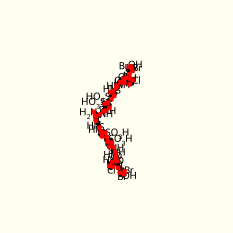 NCCN(CCNC(=S)Nc1ccc(/C=C/c2ccc(NC(=S)NNC(=O)C(Nc3ccc(Cl)cc3)C(=O)N/N=C/c3cc(Br)c(O)c(Br)c3)cc2S(=O)(=O)O)c(S(=O)(=O)O)c1)CCNC(=S)Nc1ccc(/C=C/c2ccc(NC(=S)NNC(=O)C(Nc3ccc(Cl)cc3)C(=O)N/N=C/c3cc(Br)c(O)c(Br)c3)cc2S(=O)(=O)O)c(S(=O)(=O)O)c1